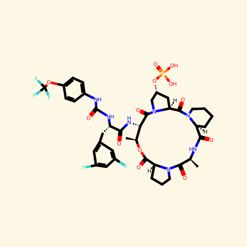 C[C@@H]1NC(=O)[C@@H]2CCCCN2C(=O)[C@@H]2C[C@@H](OP(=O)(O)O)CN2C(=O)[C@@H](NC(=O)[C@H](Cc2cc(F)cc(F)c2)NC(=O)Nc2ccc(OC(F)(F)F)cc2)[C@H](C)OC(=O)[C@@H]2CCCN2C1=O